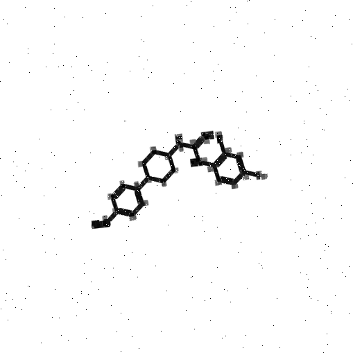 COc1ccc(C2CCC(NC(=N)Nc3ccc(F)cc3F)CC2)cc1